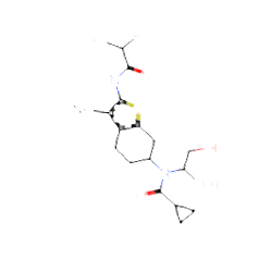 CCC(CC)C(=O)Nc1sc2c(c1C#N)CCC(N(C(=O)C1CC1)C(CO)C(C)(C)C)C2